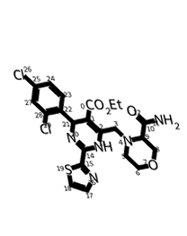 CCOC(=O)C1=C(CN2CCOCC2C(N)=O)NC(c2nccs2)=NC1c1ccc(Cl)cc1Cl